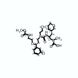 CCCN(CC[C@H](OCCNC(=O)OC)c1cccc(Cl)c1)C(=O)NC(C[C@H]1CCCOC1)CN(C)C(=O)O